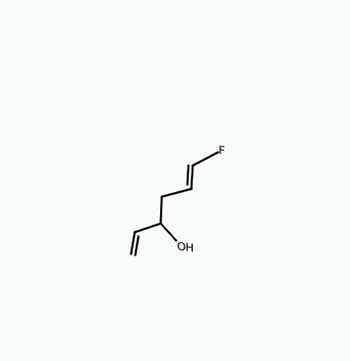 C=CC(O)CC=CF